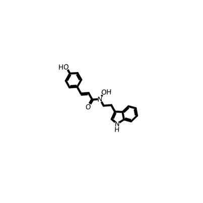 O=C(/C=C/c1ccc(O)cc1)N(O)CCc1c[nH]c2ccccc12